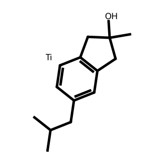 CC(C)Cc1ccc2c(c1)CC(C)(O)C2.[Ti]